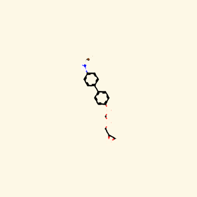 S=C=Nc1ccc(-c2ccc(OCOCC3CO3)cc2)cc1